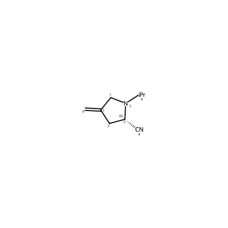 C=C1C[C@@H](C#N)N(C(C)C)C1